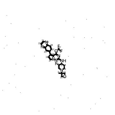 CC1(N2CC[C@H](Nc3nc(OC(F)F)c4c(-c5ccc6nccnc6c5)ccn4n3)[C@H](F)C2)COC1